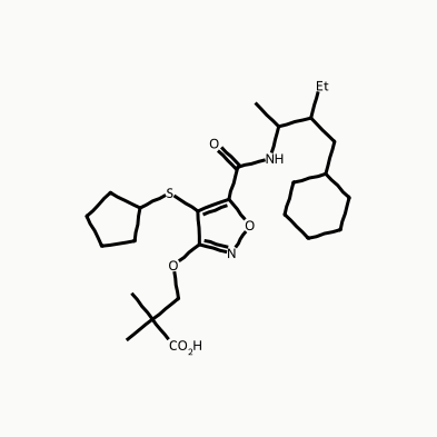 CCC(CC1CCCCC1)C(C)NC(=O)c1onc(OCC(C)(C)C(=O)O)c1SC1CCCC1